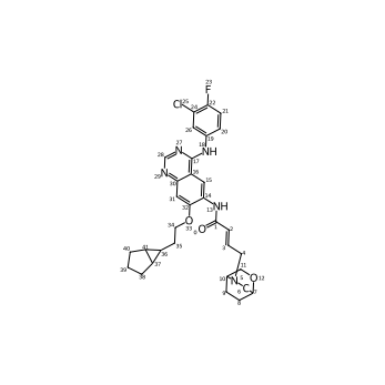 O=C(/C=C/CN1CC2CCC1CO2)Nc1cc2c(Nc3ccc(F)c(Cl)c3)ncnc2cc1OCCC1C2CCCC21